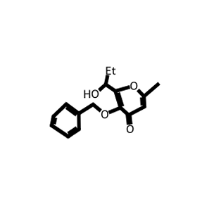 CCC(O)c1oc(C)cc(=O)c1OCc1ccccc1